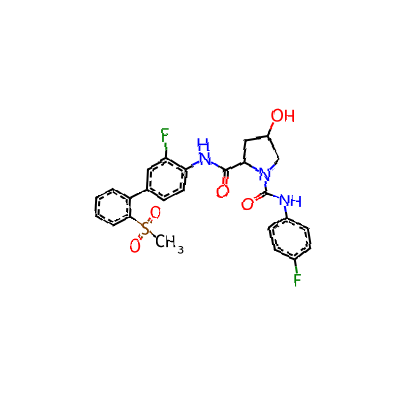 CS(=O)(=O)c1ccccc1-c1ccc(NC(=O)C2CC(O)CN2C(=O)Nc2ccc(F)cc2)c(F)c1